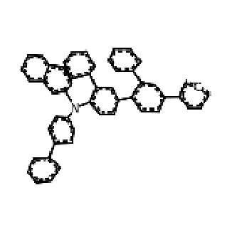 c1ccc(-c2ccc(N(c3ccc4ccccc4c3)c3ccc(-c4ccc(-c5ccccc5)cc4-c4ccccc4)cc3-c3ccccc3)cc2)cc1